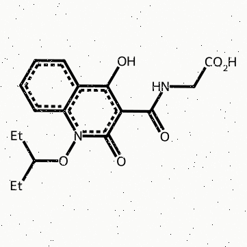 CCC(CC)On1c(=O)c(C(=O)NCC(=O)O)c(O)c2ccccc21